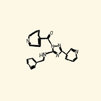 O=C(c1ccncc1)n1nc(-c2cccnc2)nc1NCc1ccccc1